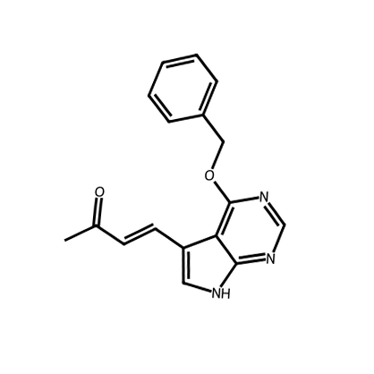 CC(=O)C=Cc1c[nH]c2ncnc(OCc3ccccc3)c12